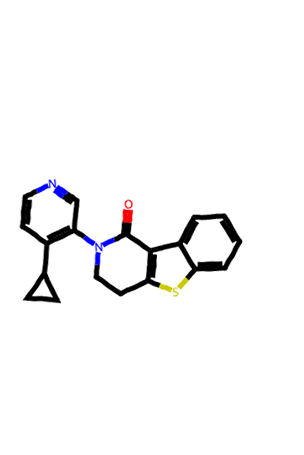 O=C1c2c(sc3ccccc23)CCN1c1cnccc1C1CC1